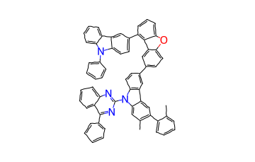 Cc1ccccc1-c1cc2c3cc(-c4ccc5oc6cccc(-c7ccc8c(c7)c7ccccc7n8-c7ccccc7)c6c5c4)ccc3n(-c3nc(-c4ccccc4)c4ccccc4n3)c2cc1C